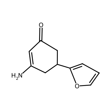 NC1=CC(=O)CC(c2ccco2)C1